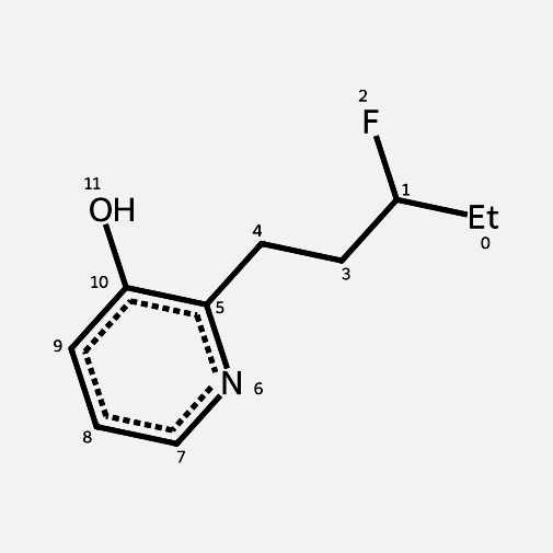 CCC(F)CCc1ncccc1O